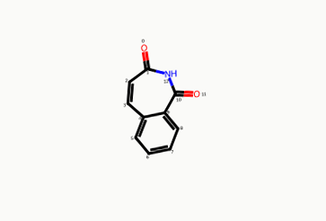 O=c1ccc2ccccc2c(=O)[nH]1